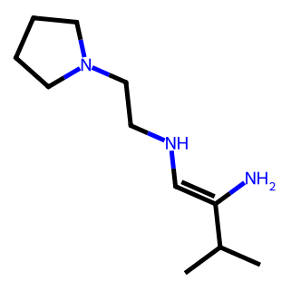 CC(C)/C(N)=C/NCCN1CCCC1